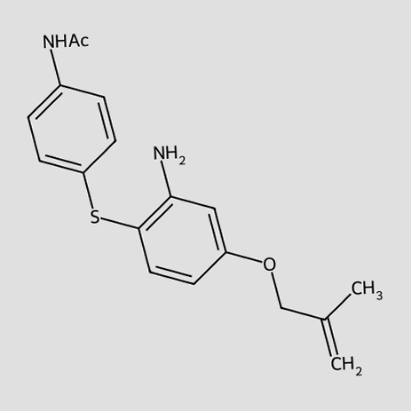 C=C(C)COc1ccc(Sc2ccc(NC(C)=O)cc2)c(N)c1